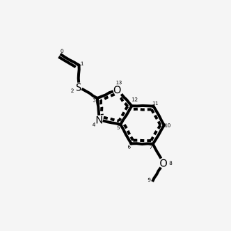 C=CSc1nc2cc(OC)ccc2o1